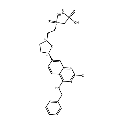 O=P(O)(O)CP(=O)(O)OC[C@@H]1CC[C@H](c2ccc3c(NCc4ccccc4)nc(Cl)nc3c2)O1